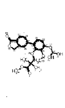 COC(=O)C(C)(C)COc1c(-c2ccc3c(c2)COC3=O)ccc(OC(O)O)c1OC